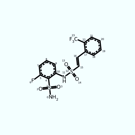 NS(=O)(=O)c1c(F)cccc1NS(=O)(=O)C=Cc1ccccc1C(F)(F)F